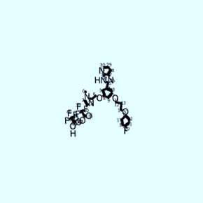 Cn1ccnc1COc1cc(OCCCOc2ccc(F)cc2)cc(-c2nc3cccnc3[nH]2)c1.O=C(O)C(F)(F)F.O=C(O)C(F)(F)F